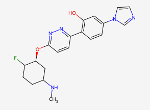 CNC1CCC(F)[C@@H](Oc2ccc(-c3ccc(-n4ccnc4)cc3O)nn2)C1